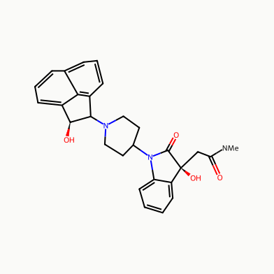 CNC(=O)C[C@@]1(O)C(=O)N(C2CCN(C3c4cccc5cccc(c45)[C@@H]3O)CC2)c2ccccc21